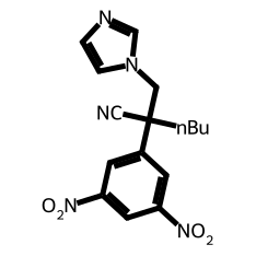 CCCCC(C#N)(Cn1ccnc1)c1cc([N+](=O)[O-])cc([N+](=O)[O-])c1